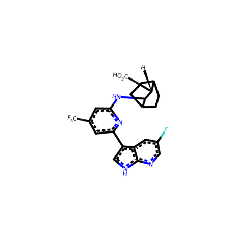 O=C(O)[C@@H]1C2CCC(CC2)C1Nc1cc(C(F)(F)F)cc(-c2c[nH]c3ncc(F)cc23)n1